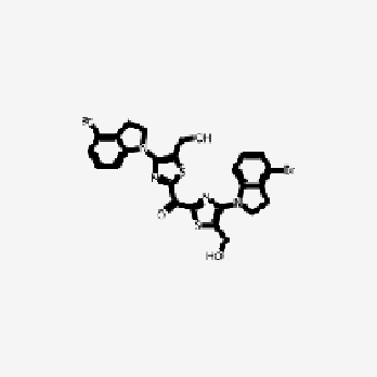 O=C(c1nc(N2CCc3c(Br)cccc32)c(CO)s1)c1nc(N2CCc3c(Br)cccc32)c(CO)s1